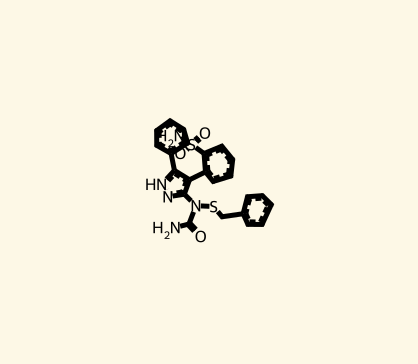 NC(=O)N(SCc1ccccc1)c1n[nH]c(-c2ccccc2)c1-c1ccccc1S(N)(=O)=O